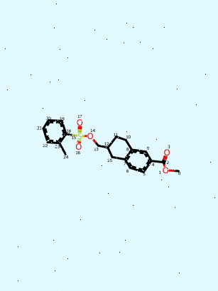 COC(=O)c1ccc2c(c1)CCC(COS(=O)(=O)c1ccccc1C)C2